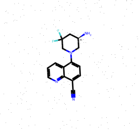 N#Cc1ccc(N2C[C@H](N)CC(F)(F)C2)c2cccnc12